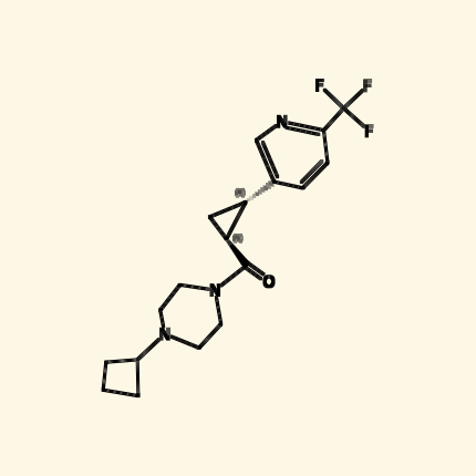 O=C([C@H]1C[C@@H]1c1ccc(C(F)(F)F)nc1)N1CCN(C2CCC2)CC1